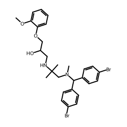 COc1ccccc1OCC(O)CNC(C)(C)CN(C)C(c1ccc(Br)cc1)c1ccc(Br)cc1